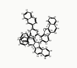 c1ccc(-c2nc(-c3ccc4ccccc4c3)nc(-c3c(-n4c5cc6ccccc6cc5c5ccc6ccccc6c54)ccc4c3oc3c5ccccc5ccc43)n2)cc1